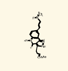 CCCn1c(=O)c2c(CCOC)[nH]nc2c2cc(/C=C/CN(CC)CC)ccc21